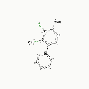 C.CNc1ccc(-c2ccccc2)c(F)c1F